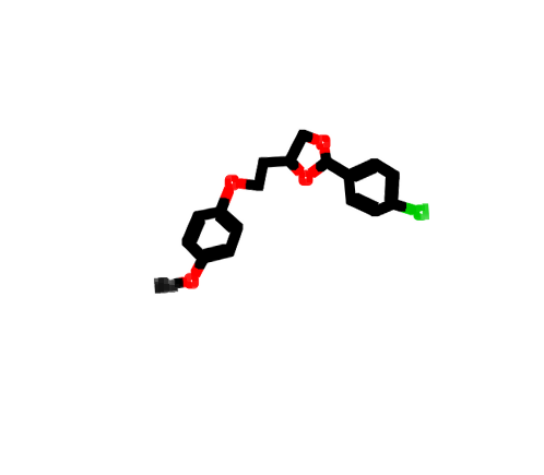 CCC(C)Oc1ccc(OCCC2COC(c3ccc(Cl)cc3)O2)cc1